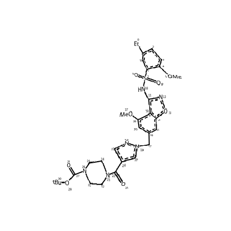 CCc1ccc(OC)c(S(=O)(=O)Nc2noc3cc(Cn4cc(C(=O)N5CCN(C(=O)OC(C)(C)C)CC5)cn4)cc(OC)c23)c1